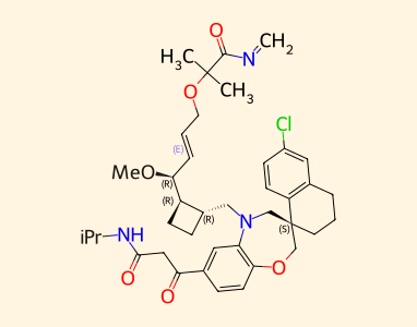 C=NC(=O)C(C)(C)OC/C=C/[C@H](OC)[C@@H]1CC[C@H]1CN1C[C@@]2(CCCc3cc(Cl)ccc32)COc2ccc(C(=O)CC(=O)NC(C)C)cc21